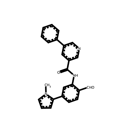 Cn1cccc1-c1ccc(C=O)c(NC(=O)c2cncc(-c3ccccc3)c2)c1